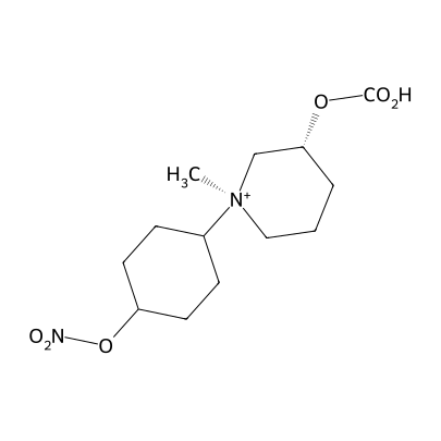 C[N@@+]1(C2CCC(O[N+](=O)[O-])CC2)CCC[C@@H](OC(=O)O)C1